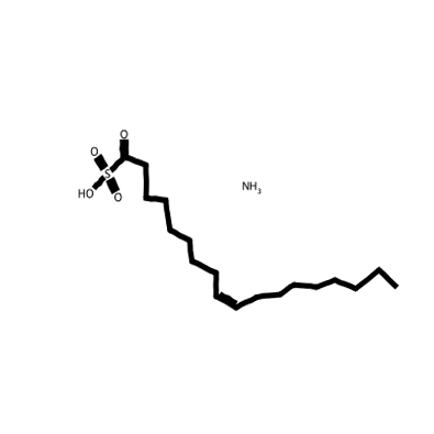 CCCCCCCC/C=C\CCCCCCCC(=O)S(=O)(=O)O.N